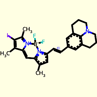 CC1=C(I)C(C)=[N+]2C1=Cc1c(C)cc(/C=C/c3cc4c5c(c3)CCCN5CCC4)n1[B-]2(F)F